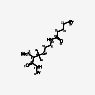 CNC(C(=O)NC(C)C)C(C)(C)SCCNC(=O)CCCC(C)C